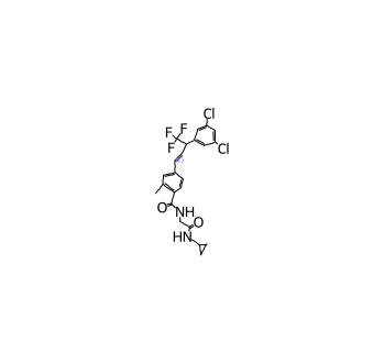 Cc1cc(/C=C/C(c2cc(Cl)cc(Cl)c2)C(F)(F)F)ccc1C(=O)NCC(=O)NC1CC1